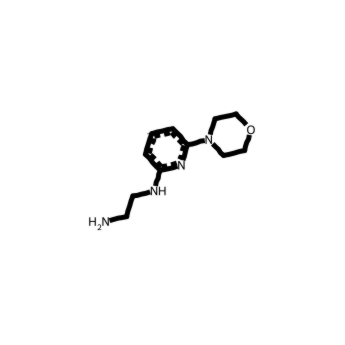 NCCNc1c[c]cc(N2CCOCC2)n1